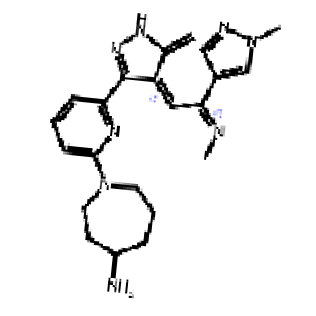 C=c1[nH]nc(-c2cccc(N3CCCC(N)CC3)n2)/c1=C/C(=N\C)c1cnn(C)c1